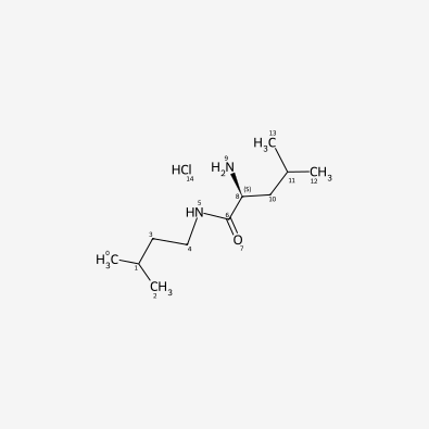 CC(C)CCNC(=O)[C@@H](N)CC(C)C.Cl